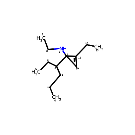 CCCC(CC)C1(NCC)C=C1CC